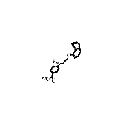 O=C(O)c1ccc(NCCCOc2cccc3ccccc23)cc1